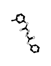 Cc1cccc(OC(=O)N=NC(=O)Oc2ccccc2)c1